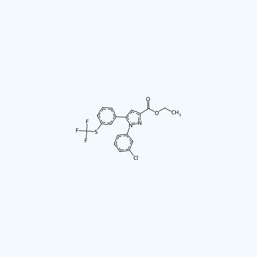 CCOC(=O)c1cc(-c2cccc(SC(F)(F)F)c2)n(-c2cccc(Cl)c2)n1